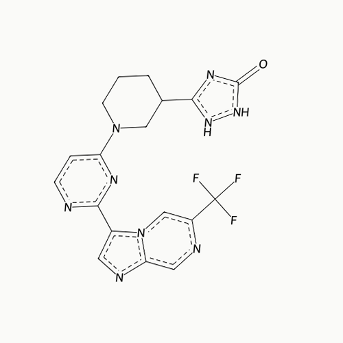 O=c1nc(C2CCCN(c3ccnc(-c4cnc5cnc(C(F)(F)F)cn45)n3)C2)[nH][nH]1